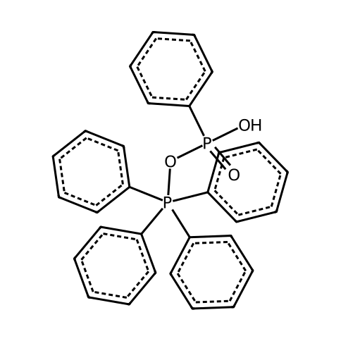 O=P(O)(OP(c1ccccc1)(c1ccccc1)(c1ccccc1)c1ccccc1)c1ccccc1